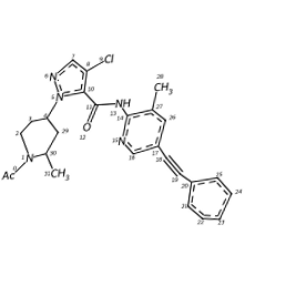 CC(=O)N1CCC(n2ncc(Cl)c2C(=O)Nc2ncc(C#Cc3ccccc3)cc2C)CC1C